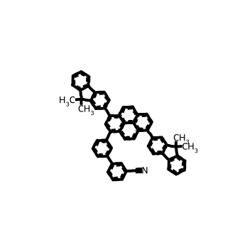 CC1(C)c2ccccc2-c2ccc(-c3ccc4ccc5c(-c6ccc7c(c6)C(C)(C)c6ccccc6-7)cc(-c6cccc(-c7cccc(C#N)c7)c6)c6ccc3c4c65)cc21